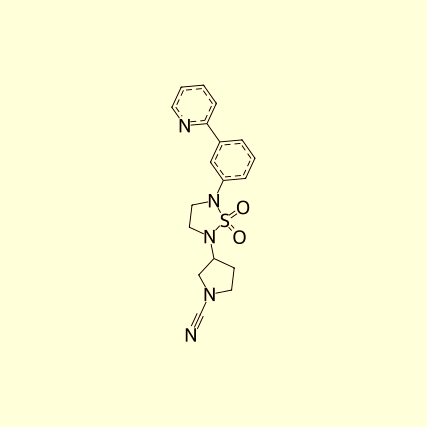 N#CN1CCC(N2CCN(c3cccc(-c4ccccn4)c3)S2(=O)=O)C1